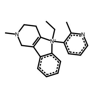 CC[N+]1(c2cccnc2C)C2=C(CN(C)CC2)c2ccccc21